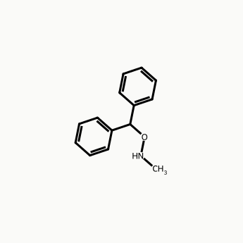 CNOC(c1ccccc1)c1ccccc1